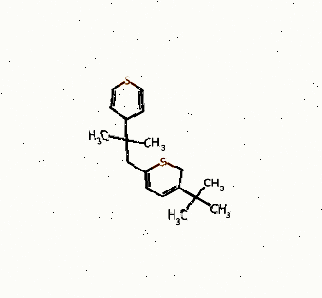 CC(C)(C)C1=CC=C(CC(C)(C)C2C=CSC=C2)SC1